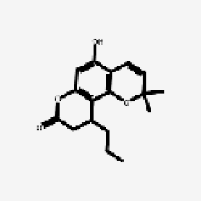 CCCC1CC(=O)Oc2cc(O)c3c(c21)OC(C)(C)C=C3